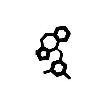 Cc1cc(C)cc(C[C@H]2c3ccccc3CCc3sccc32)c1